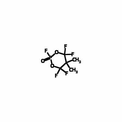 CC1(C)C(F)(F)OP(=O)(F)OC1(F)F